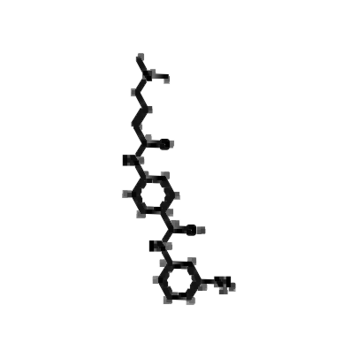 CN(C)C/C=C/C(=O)Nc1ccc(C(=O)Nc2cccc(N)c2)cc1